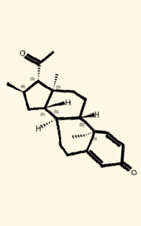 CC(=O)[C@H]1[C@H](C)C[C@H]2[C@@H]3CCC4=CC(=O)C=C[C@]4(C)[C@H]3CC[C@@]21C